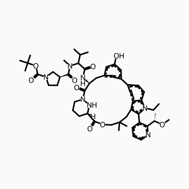 CCn1c(-c2cccnc2[C@H](C)OC)c2c3cc(ccc31)-c1cc(O)cc(c1)C[C@H](NC(=O)C(C(C)C)N(C)C(=O)[C@H]1CCN(C(=O)OC(C)(C)C)C1)C(=O)N1CCC[C@H](N1)C(=O)OCC(C)(C)C2